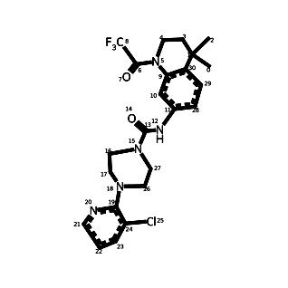 CC1(C)CCN(C(=O)C(F)(F)F)c2cc(NC(=O)N3CCN(c4ncccc4Cl)CC3)ccc21